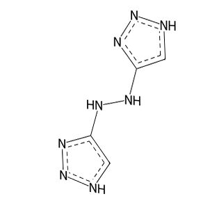 c1[nH]nnc1NNc1c[nH]nn1